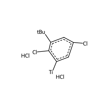 CC(C)(C)c1cc(Cl)c[c]([Ti])c1Cl.Cl.Cl